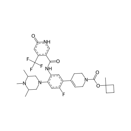 CC1CN(c2cc(F)c(C3=CCN(C(=O)OC4(C)CCC4)CC3)cc2NC(=O)c2c[nH]c(=O)cc2C(F)(F)F)CC(C)N1C